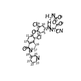 N#CC(=NNc1cc(Cl)c(Oc2ccc3c(c2)CCN(Cc2cccnc2)C3=O)c(Cl)c1)C(=O)OC(N)=O